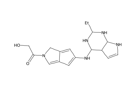 CCC1NC2NC=CC2C(NC2=CC3=CN(C(=O)CO)CC3=C2)N1